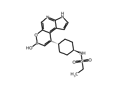 CCS(=O)(=O)N[C@H]1CC[C@H](C2=CB(O)Oc3cnc4[nH]ccc4c32)CC1